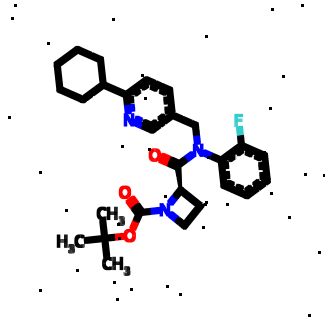 CC(C)(C)OC(=O)N1CC[C@@H]1C(=O)N(Cc1ccc(C2CCCCC2)nc1)c1ccccc1F